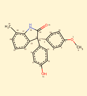 COc1ccc([C@@]2(c3ccc(O)cc3)C(=O)Nc3c(C)cccc32)cc1